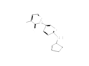 Cc1ccnn(-c2ccc(NC3CCCC3)nc2)c1=O